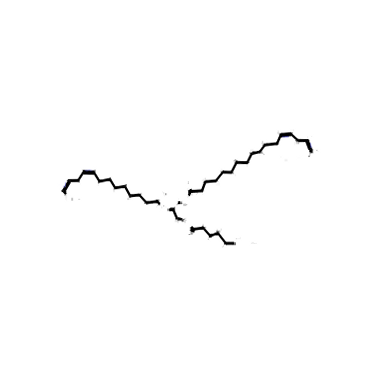 CCCC/C=C\C/C=C\CCCCCCCC(=O)O[C@@H](COC(=O)CCCCCCCCCCC/C=C\C/C=C\CCCCC)COC(=O)CCCCCCCCCCCCCC